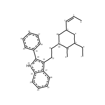 C/C=C\C1CC(CC)C(C)N(CCc2c(-c3ccccc3)[nH]c3ccccc23)C1